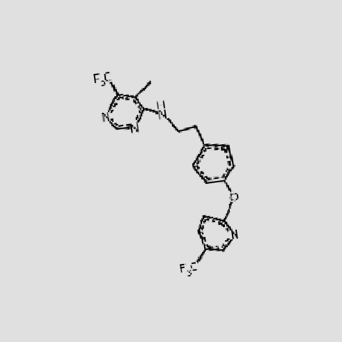 Cc1c(NCCc2ccc(Oc3ccc(C(F)(F)F)cn3)cc2)ncnc1C(F)(F)F